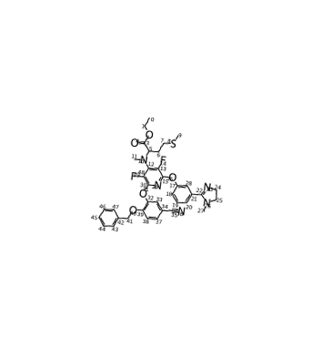 CCOC(=O)C(CCSC)N(C)c1c(F)c(Oc2cccc(C3=NCCN3C)c2)nc(Oc2cc(C#N)ccc2OCc2ccccc2)c1F